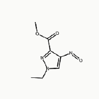 CCn1cc(N=O)c(C(=O)OC)n1